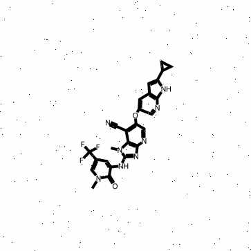 Cn1cc(C(F)(F)F)cc(Nc2nc3ncc(Oc4cnc5[nH]c(C6CC6)cc5c4)c(C#N)c3n2C)c1=O